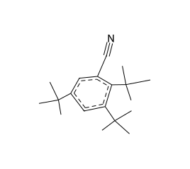 CC(C)(C)c1cc(C#N)c(C(C)(C)C)c(C(C)(C)C)c1